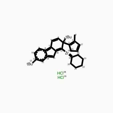 CC1=C(C2(C(C)(C)C)C=CC3=c4ccc(C(C)(C)C)cc4=CC3=[C]2[Zr]=[C]2CCCCC2)CC=C1.Cl.Cl